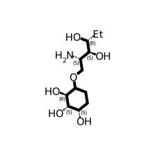 CC[C@@H](O)[C@@H](O)[C@@H](N)COC1CC[C@H](O)[C@H](O)[C@H]1O